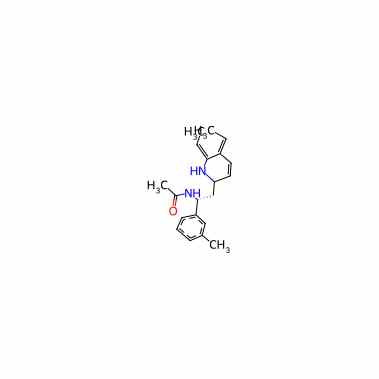 C/C=C1/C=CC(C[C@@H](NC(C)=O)c2cccc(C)c2)N/C1=C/C